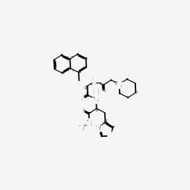 NNC(=O)C(Cc1cscn1)NC(=O)[C@H](Cc1cccc2ccccc12)NC(=O)CN1CCCCC1